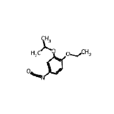 CCOc1ccc(N=C=O)cc1OC(C)C